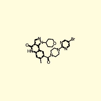 Cc1cc2[nH]c(=O)c3cnn(C4CCOCC4)c3c2cc1C(=O)N1CCN(c2ncc(Br)cn2)CC1